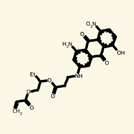 C=CC(=O)OCC(CC)OC(=O)CCNc1cc(N)c2c(c1)C(=O)c1c(O)ccc([N+](=O)[O-])c1C2=O